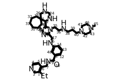 CCc1cnccc1CNC(=O)c1cccc(NCc2nnc(C3NCNCC34CCCCCC4)n2CCNCCCN2CCN(C)CC2)c1